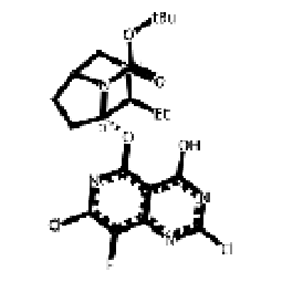 CCC1NCC2CC[C@@]1(Oc1nc(Cl)c(F)c3nc(Cl)nc(O)c13)N2C(=O)OC(C)(C)C